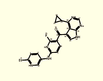 CCc1ccc(Nc2ccc(C(=O)c3c[nH]c4ncnc(C5CC5)c34)c(F)n2)cn1